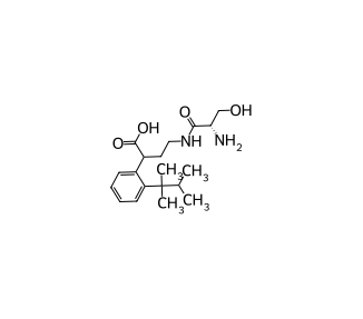 CC(C)C(C)(C)c1ccccc1C(CCNC(=O)[C@@H](N)CO)C(=O)O